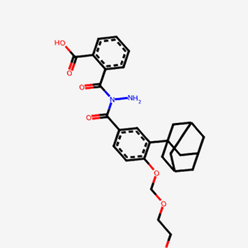 COCCOCOc1ccc(C(=O)N(N)C(=O)c2ccccc2C(=O)O)cc1C12CC3CC(CC(C3)C1)C2